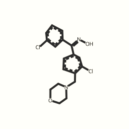 ON=C(c1cccc(Cl)c1)c1ccc(CN2CCOCC2)c(Cl)c1